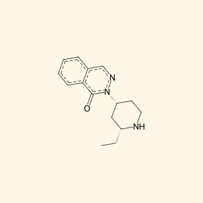 CC[C@@H]1C[C@H](n2ncc3ccccc3c2=O)CCN1